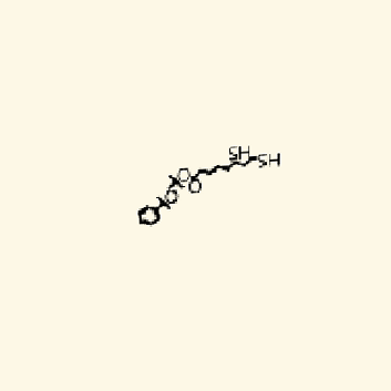 CC(C)(COC(C)(C)c1ccccc1)OC(=O)CCCCC(S)CCS